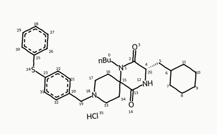 CCCCN1C(=O)[C@H](CC2CCCCC2)NC(=O)C12CCN(Cc1ccc(Sc3ccccc3)cc1)CC2.Cl